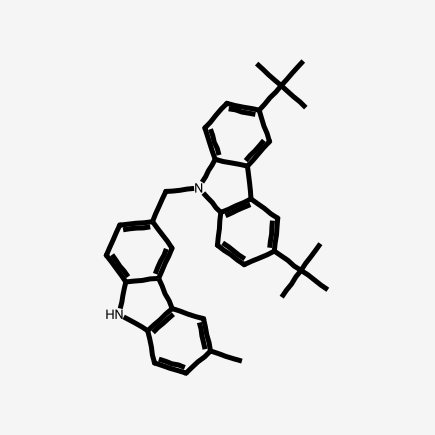 Cc1ccc2[nH]c3ccc(Cn4c5ccc(C(C)(C)C)cc5c5cc(C(C)(C)C)ccc54)cc3c2c1